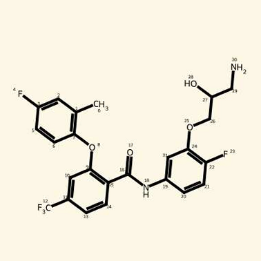 Cc1cc(F)ccc1Oc1cc(C(F)(F)F)ccc1C(=O)Nc1ccc(F)c(OCC(O)CN)c1